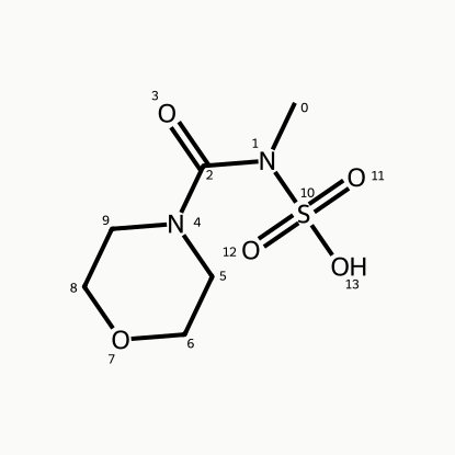 CN(C(=O)N1CCOCC1)S(=O)(=O)O